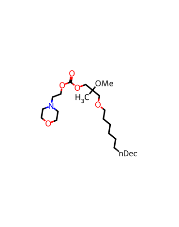 CCCCCCCCCCCCCCCCOCC(C)(COC(=O)OCCN1CCOCC1)OC